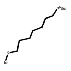 [CH2]CCCCCCCCCCCSCC